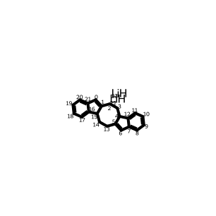 C1=C2CCC3C(=Cc4ccccc43)CCC2c2ccccc21.[LiH].[LiH]